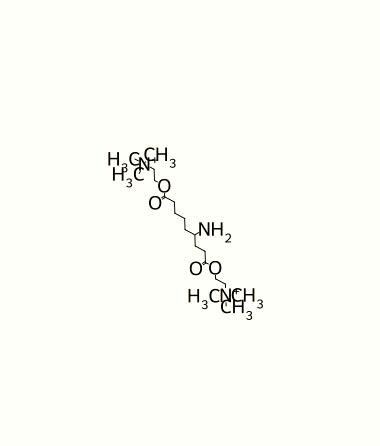 C[N+](C)(C)CCOC(=O)CCCCC(N)CCC(=O)OCC[N+](C)(C)C